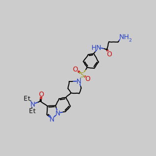 CCN(CC)C(=O)c1cnn2ccc(C3CCN(S(=O)(=O)c4ccc(NC(=O)CCN)cc4)CC3)cc12